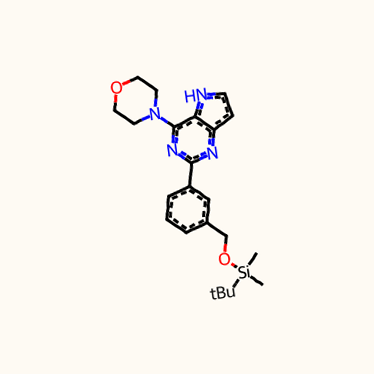 CC(C)(C)[Si](C)(C)OCc1cccc(-c2nc(N3CCOCC3)c3[nH]ccc3n2)c1